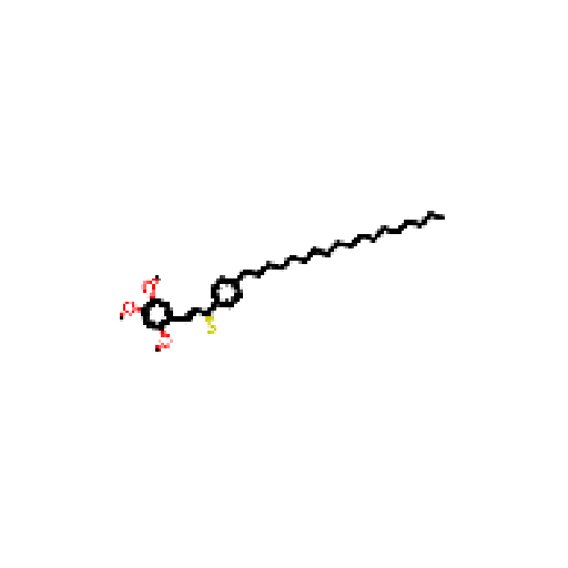 CCCCCCCCCCCCCCCCCCc1ccc(C(=S)C=Cc2cc(OC)c(OC)cc2OC)cc1